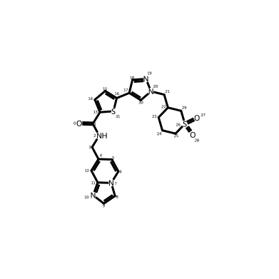 O=C(NCc1ccn2ccnc2c1)c1ccc(-c2cnn(CC3CCCS(=O)(=O)C3)c2)s1